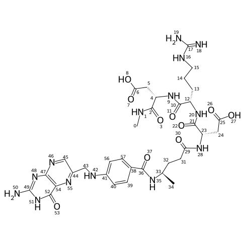 CNC(=O)[C@H](CC(=O)O)NC(=O)[C@H](CCCNC(=N)N)NC(=O)[C@H](CC(=O)O)NC(=O)CC[C@@H](C)NC(=O)c1ccc(NCc2cnc3nc(N)[nH]c(=O)c3n2)cc1